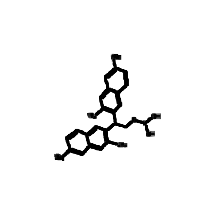 CC(C)(C)c1ccc2cc(C(COP(O)O)c3cc4ccc(C(C)(C)C)cc4cc3C(C)(C)C)c(C(C)(C)C)cc2c1